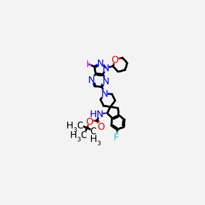 CC(C)(C)OC(=O)N[C@@H]1c2cc(F)ccc2CC12CCN(c1cnc3c(I)nn(C4CCCCO4)c3n1)CC2